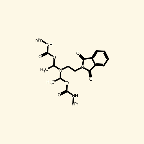 CCCNC(=O)OC(C)N(CCN1C(=O)c2ccccc2C1=O)C(C)OC(=O)NCCC